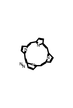 C1=CC2=NC1=CC1=NC(=CC3=NC(=CC4=NC(=C2)C=C4)C=C3)C=C1.N#N